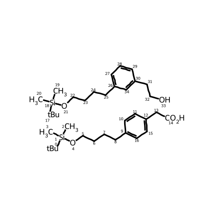 CC(C)(C)[Si](C)(C)OCCCCc1ccc(CC(=O)O)cc1.CC(C)(C)[Si](C)(C)OCCCCc1cccc(CCO)c1